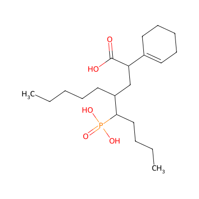 CCCCCC(CC(C(=O)O)C1=CCCCC1)C(CCCC)P(=O)(O)O